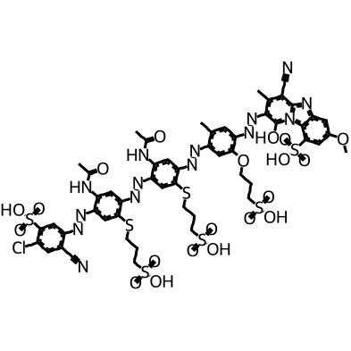 COc1cc(S(=O)(=O)O)c2c(c1)nc1c(C#N)c(C)c(N=Nc3cc(C)c(N=Nc4cc(NC(C)=O)c(N=Nc5cc(NC(C)=O)c(N=Nc6cc(S(=O)(=O)O)c(Cl)cc6C#N)cc5SCCCS(=O)(=O)O)cc4SCCCS(=O)(=O)O)cc3OCCCS(=O)(=O)O)c(O)n12